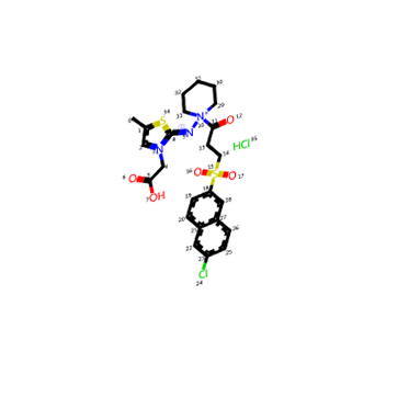 Cc1cn(CC(=O)O)/c(=N/[N+]2(C(=O)CCS(=O)(=O)c3ccc4cc(Cl)ccc4c3)CCCCC2)s1.Cl